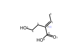 C/C=C(\CCO)C(=O)O